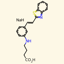 O=C(O)CCCNc1cccc(/C=C/c2nc3ccccc3s2)c1.[NaH]